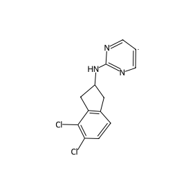 Clc1ccc2c(c1Cl)CC(Nc1nc[c]cn1)C2